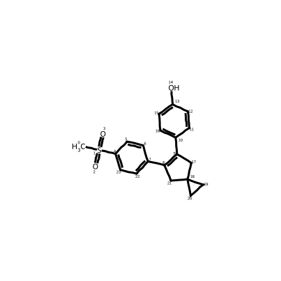 CS(=O)(=O)c1ccc(C2=C(c3ccc(O)cc3)CC3(CC3)C2)cc1